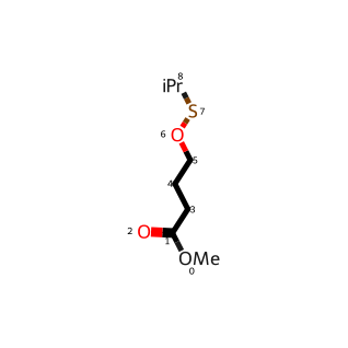 COC(=O)CCCOSC(C)C